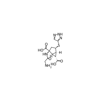 NCC(=O)N[C@@]1(C(=O)O)C[C@@H](Sc2cn[nH]n2)[C@H]2[C@H](C(=O)O)[C@H]21